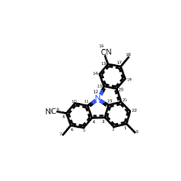 Cc1cc2c3cc(C)c(C#N)cc3n3c4cc(C#N)c(C)cc4c(c1)c23